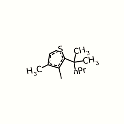 CCCC(C)(C)c1scc(C)c1I